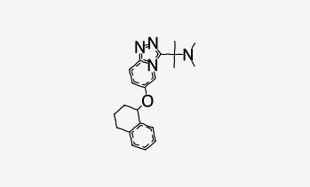 CN(C)C(C)(C)c1nnc2ccc(OC3CCCc4ccccc43)cn12